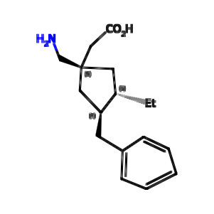 CC[C@H]1C[C@@](CN)(CC(=O)O)C[C@@H]1Cc1ccccc1